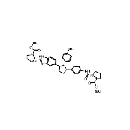 CC(C)(C)OC(=O)N1CCC[C@H]1C(=O)Nc1ccc(C2CCC(c3ccc4[nH]c([C@@H]5CCCN5C(=O)OC(C)(C)C)nc4c3)N2c2ccc(C(C)(C)C)cc2)cc1